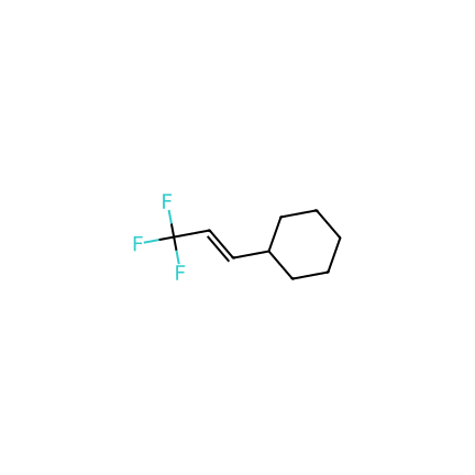 FC(F)(F)/C=C/C1CCCCC1